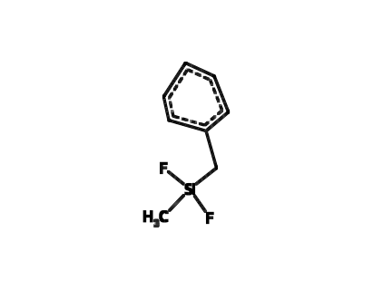 C[Si](F)(F)Cc1ccccc1